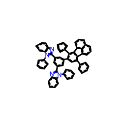 c1ccc(-c2cc(-c3cc(-c4nc5ccccc5n4-c4ccccc4)cc(-c4nc5ccccc5n4-c4ccccc4)c3)c(-c3ccccc3)c3c2-c2cccc4cccc-3c24)cc1